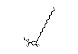 CCCCCCCCCCCCCCCCN1CC(C(=O)OCC)CC1=O